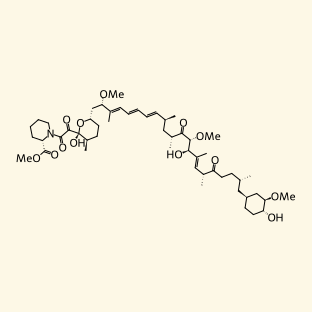 COC(=O)[C@@H]1CCCCN1C(=O)C(=O)[C@]1(O)O[C@H](C[C@H](OC)/C(C)=C/C=C/C=C/[C@@H](C)C[C@@H](C)C(=O)[C@H](OC)[C@H](O)/C(C)=C/[C@@H](C)C(=O)CC[C@H](C)C[C@@H]2CC[C@@H](O)[C@H](OC)C2)CC[C@H]1C